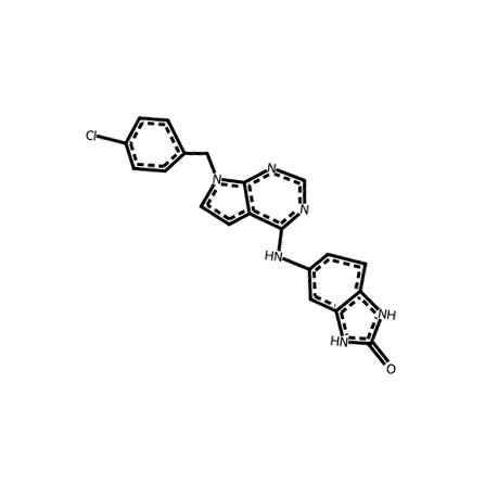 O=c1[nH]c2ccc(Nc3ncnc4c3ccn4Cc3ccc(Cl)cc3)cc2[nH]1